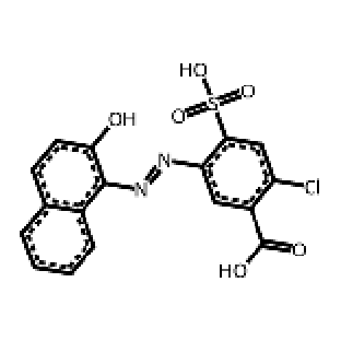 O=C(O)c1cc(/N=N/c2c(O)ccc3ccccc23)c(S(=O)(=O)O)cc1Cl